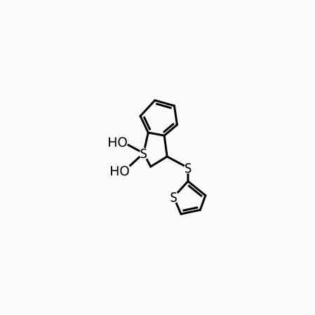 OS1(O)CC(Sc2cccs2)c2ccccc21